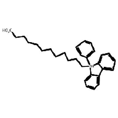 O=C(O)CCCCCCCCCCC[PH]1(c2ccccc2)c2ccccc2-c2ccccc21